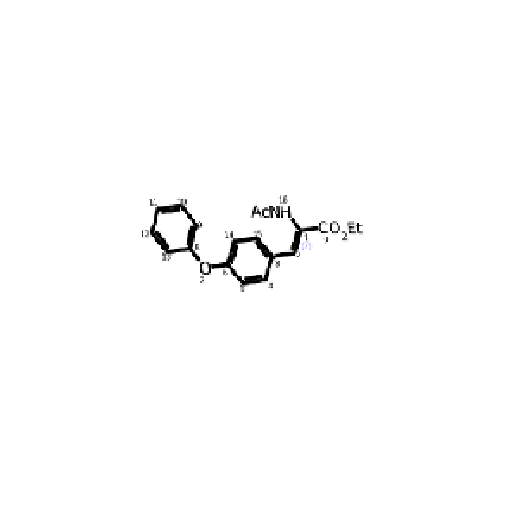 CCOC(=O)/C(=C/c1ccc(Oc2ccccc2)cc1)NC(C)=O